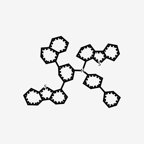 c1ccc(-c2ccc(N(c3cc(-c4cccc5ccccc45)cc(-c4cccc5c4sc4ccccc45)c3)c3cccc4c3sc3ccccc34)cc2)cc1